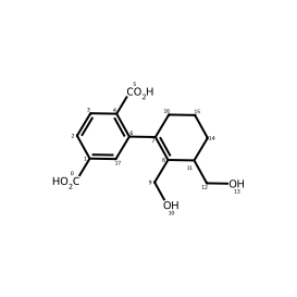 O=C(O)c1ccc(C(=O)O)c(C2=C(CO)C(CO)CCC2)c1